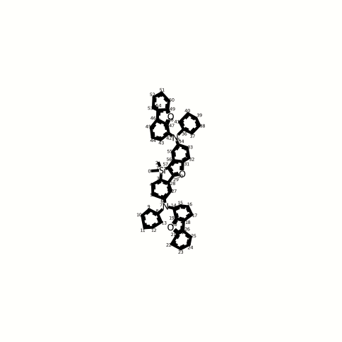 C[Si]1(C)c2ccc(N(c3ccccc3)c3cccc4c3oc3ccccc34)cc2-c2oc3ccc(N(c4ccccc4)c4cccc5c4oc4ccccc45)cc3c21